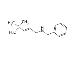 C[Si](C)(C)C=CCNCc1ccccc1